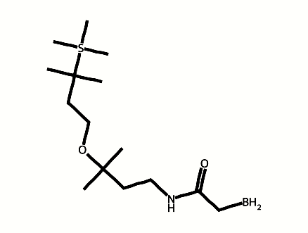 BCC(=O)NCCC(C)(C)OCCC(C)(C)S(C)(C)C